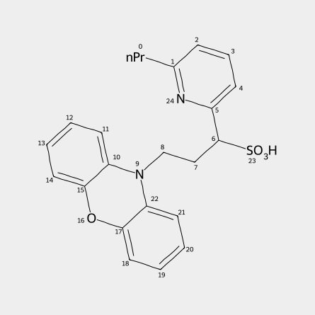 CCCc1cccc(C(CCN2c3ccccc3Oc3ccccc32)S(=O)(=O)O)n1